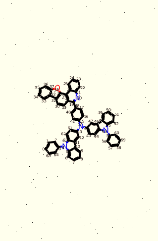 c1ccc(-n2c3ccccc3c3cc(N(c4ccc(-c5nc6ccccc6c6c5ccc5c7ccccc7oc56)cc4)c4ccc5c(c4)c4ccccc4n5-c4ccccc4)ccc32)cc1